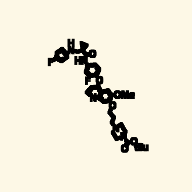 COc1cc2c(Oc3ccc(NC(=O)C4(CNc5ccc(F)cc5)CC4)cc3F)ccnc2cc1OCCCN1CCN(C(=O)OC(C)(C)C)CC1